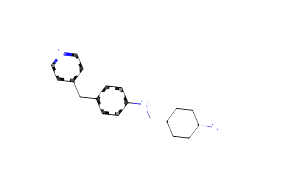 N[C@H]1CC[C@H](CNc2ccc(Cc3ccncc3)cc2)CC1